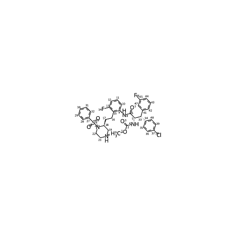 COC(=O)N[C@H](C(=O)Nc1cccc(F)c1CC[C@H]1CNCCN1S(=O)(=O)c1ccccc1)[C@@H](c1ccc(Cl)cc1)c1cccc(F)c1